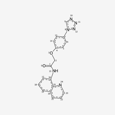 O=C(COc1ccc(-n2cnnn2)cc1)Nc1cccc2cccnc12